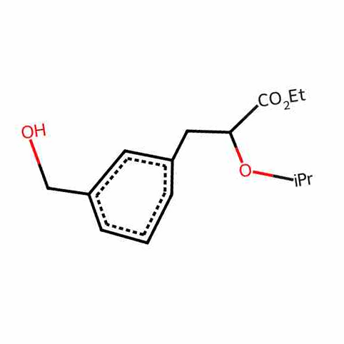 CCOC(=O)C(Cc1cccc(CO)c1)OC(C)C